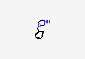 [C]1NCCN1Cc1ccccc1